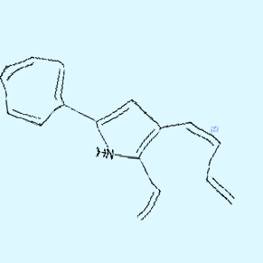 C=C/C=C\c1cc(-c2ccccc2)[nH]c1C=C